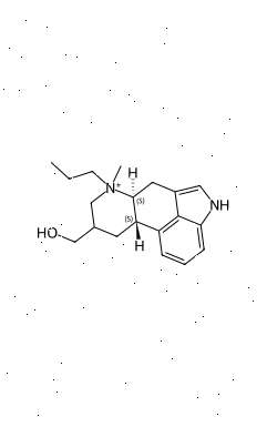 CCC[N+]1(C)CC(CO)C[C@H]2c3cccc4[nH]cc(c34)C[C@@H]21